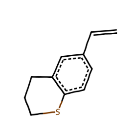 C=Cc1ccc2c(c1)CCCS2